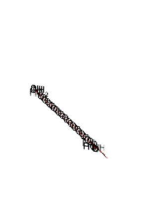 CCCCCCCCCCCCCCCC(=O)N[C@@H](CCC(=O)NCCOCCOCCOCCOCCOCCOCCOCCOCCOCCOCCOCCOCCOCCOCCOCCOCCOCCOCCOCCOCCOCCOCCOCCOCCC(=O)NCCCC[C@@H](N)C(=O)O)C(=O)O